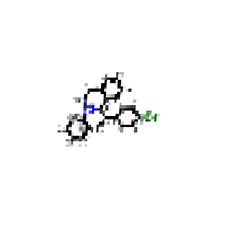 CC(c1ccc(Br)cc1)C1c2ccccc2CCN1c1ccccc1